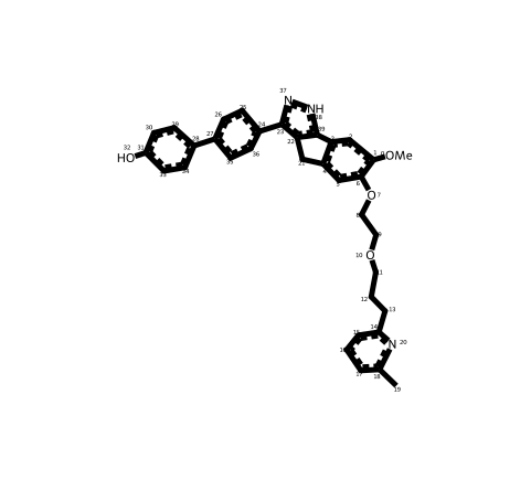 COc1cc2c(cc1OCCOCCCc1cccc(C)n1)Cc1c(-c3ccc(-c4ccc(O)cc4)cc3)n[nH]c1-2